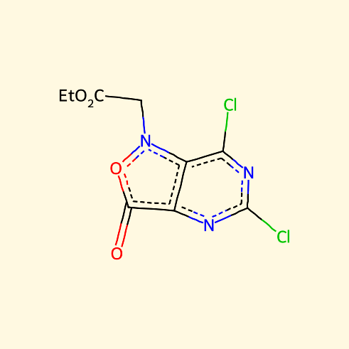 CCOC(=O)Cn1oc(=O)c2nc(Cl)nc(Cl)c21